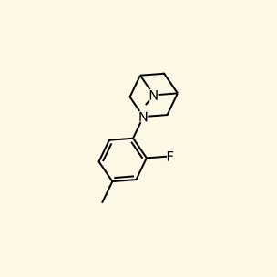 Cc1ccc(N2CC3CC(C2)N3C)c(F)c1